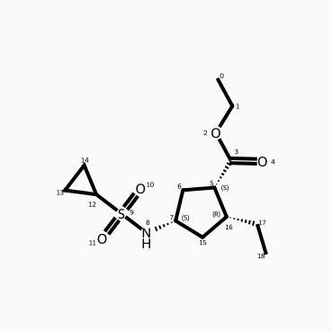 CCOC(=O)[C@H]1C[C@@H](NS(=O)(=O)C2CC2)C[C@H]1CC